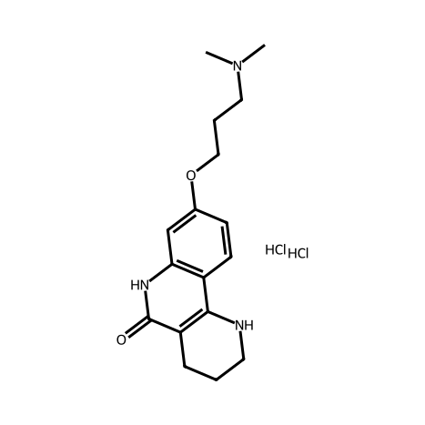 CN(C)CCCOc1ccc2c3c(c(=O)[nH]c2c1)CCCN3.Cl.Cl